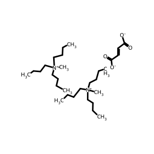 CCCC[N+](C)(CCCC)CCCC.CCCC[N+](C)(CCCC)CCCC.O=C([O-])C=CC(=O)[O-]